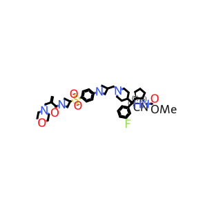 C=C(CN1CCOCC1)C(=O)N1CC(S(=O)(=O)c2ccc(N3CC(CN4CCC([C@@](C#N)(c5cccc(F)c5)[C@H]5CCC[C@@H]5NC(=O)OC)CC4)C3)cc2)C1